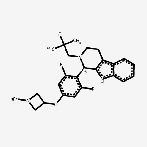 CCCN1CC(Oc2cc(F)c([C@@H]3c4[nH]c5ccccc5c4CCN3CC(C)(C)F)c(F)c2)C1